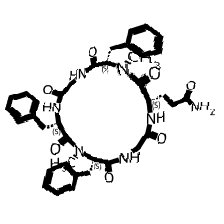 CN1C(=O)[C@H](CCC(N)=O)NC(=O)CNC(=O)[C@H](Cc2ccccc2)N(C)C(=O)[C@H](Cc2ccccc2)NC(=O)CNC(=O)[C@@H]1Cc1ccccc1